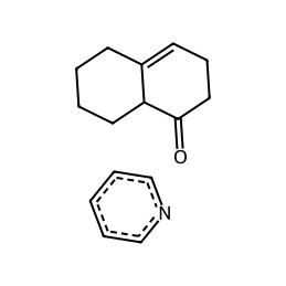 O=C1CCC=C2CCCCC12.c1ccncc1